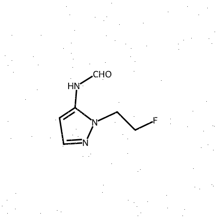 O=CNc1ccnn1CCF